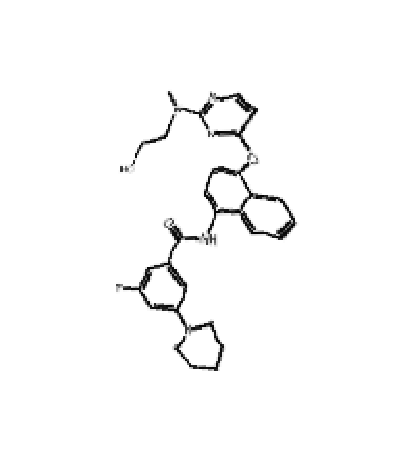 CN(CCO)c1nccc(Oc2ccc(NC(=O)c3cc(F)cc(N4CCCCC4)c3)c3ccccc23)n1